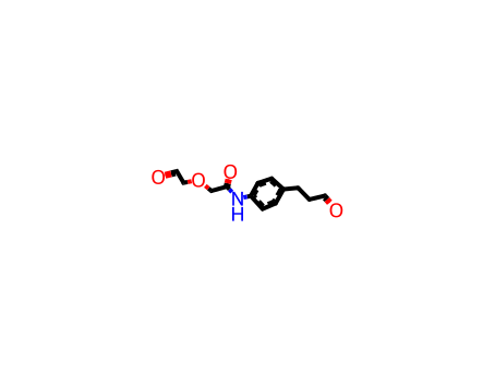 O=CCCc1ccc(NC(=O)COCC=O)cc1